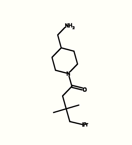 CC(C)CC(C)(C)CC(=O)N1CCC(CN)CC1